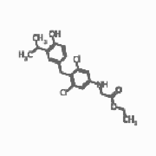 CCOC(=O)CNc1cc(Cl)c(Cc2ccc(O)c(C(C)C)c2)c(Cl)c1